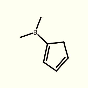 CB(C)C1=CC=CC1